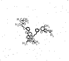 CCNc1ncc2c(n1)N(C)CCN(c1cccc(CCCN(C(=O)OC(C)(C)C)N3CCN(c4cccc(OCCN(C)C(=O)OC(C)(C)C)c4)C(=O)c4cnc(NCC)nc43)c1)C2=O